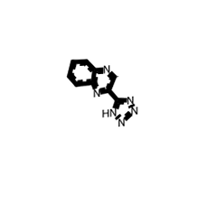 [c]1nc2ccccc2nc1-c1nnn[nH]1